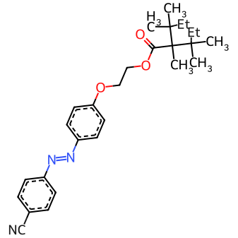 CCC(C)(C)C(C)(C(=O)OCCOc1ccc(/N=N/c2ccc(C#N)cc2)cc1)C(C)(C)CC